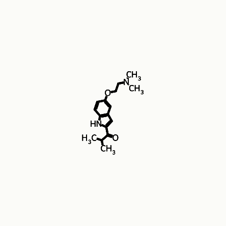 CC(C)C(=O)c1cc2cc(OCCN(C)C)ccc2[nH]1